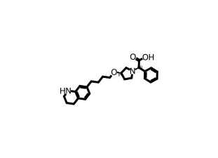 O=C(O)[C@@H](c1ccccc1)N1CC[C@@H](OCCCCc2ccc3c(c2)NCCC3)C1